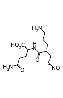 NCCC[C@H](CSN=O)C(=O)N[C@@H](CCC(N)=O)C(=O)O